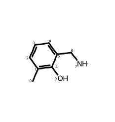 Cc1cccc(C[NH])c1O